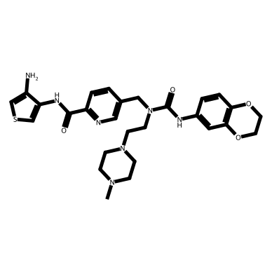 CN1CCN(CCN(Cc2ccc(C(=O)Nc3cscc3N)nc2)C(=O)Nc2ccc3c(c2)OCCO3)CC1